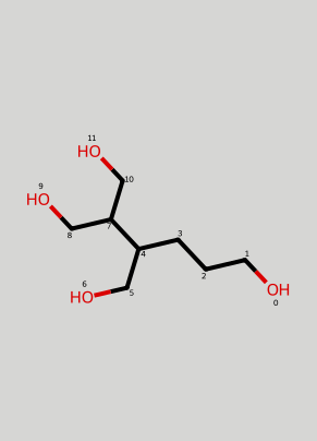 OCCCC(CO)C(CO)CO